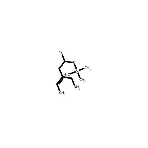 CC=C(CN)CC(CC)S[Si](C)(C)C